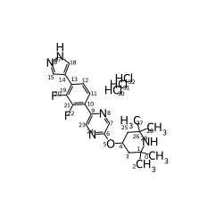 CC1(C)CC(Oc2cnc(-c3ccc(-c4cn[nH]c4)c(F)c3F)cn2)CC(C)(C)N1.Cl.Cl.Cl